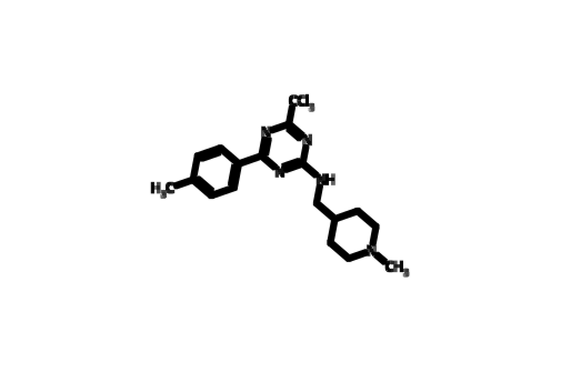 Cc1ccc(-c2nc(NCC3CCN(C)CC3)nc(C(Cl)(Cl)Cl)n2)cc1